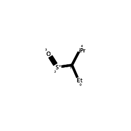 [CH2]CC([S+]=O)C(C)C